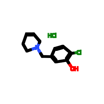 Cl.Oc1cc(CN2CC=CCC2)ccc1Cl